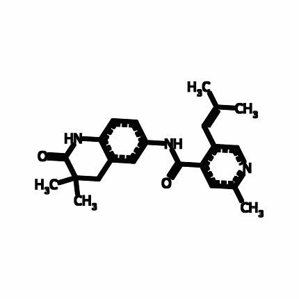 CC(C)=Cc1cnc(C)cc1C(=O)Nc1ccc2c(c1)CC(C)(C)C(=O)N2